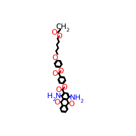 C=CC(=O)OCCCCCCOc1ccc(OC(=O)c2ccc(OC(=O)c3cc(N)c4c(c3N)C(=O)c3ccccc3C4=O)cc2)cc1